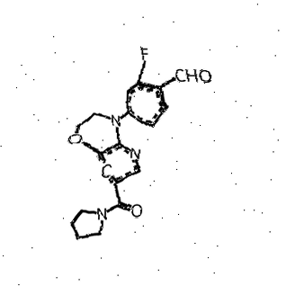 O=Cc1ccc(N2CCOc3cc(C(=O)N4CCCC4)cnc32)cc1F